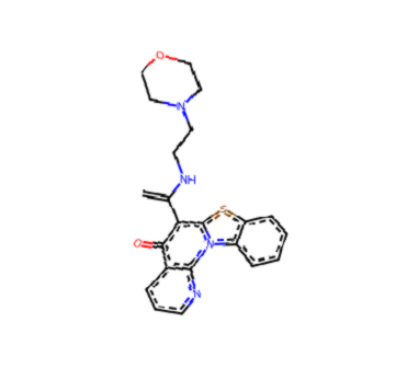 C=C(NCCN1CCOCC1)c1c(=O)c2cccnc2n2c1sc1ccccc12